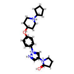 O=C1CCCN1c1cnn(-c2ccc(OC3CCN(C4CCCC4)CC3)cc2)c1